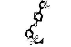 O=S(=O)(CC1CC1)c1cc(COc2ccc(-c3ccn[nH]3)nc2)ccn1